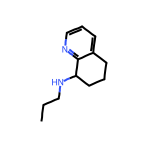 CCCNC1CCCc2cccnc21